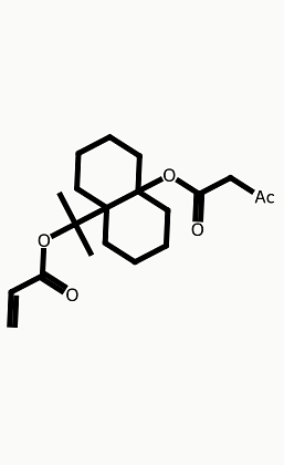 C=CC(=O)OC(C)(C)C12CCCCC1(OC(=O)CC(C)=O)CCCC2